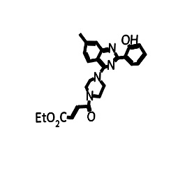 CCOC(=O)C=CC(=O)N1CCN(c2nc(-c3ccccc3O)nc3cc(C)ccc23)CC1